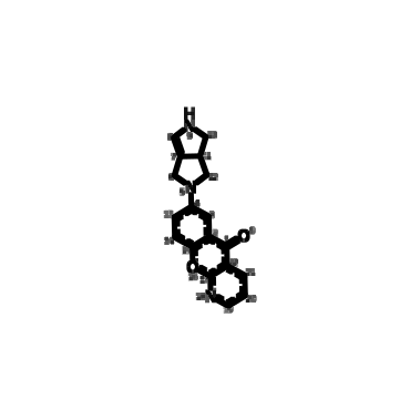 O=c1c2cc(N3CC4=CNCC4C3)ccc2oc2ncccc12